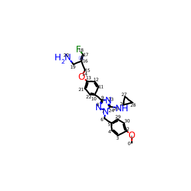 COc1ccc(Cn2nc(-c3ccc(OC/C(=C/F)CN)cc3)nc2NC2CC2)cc1